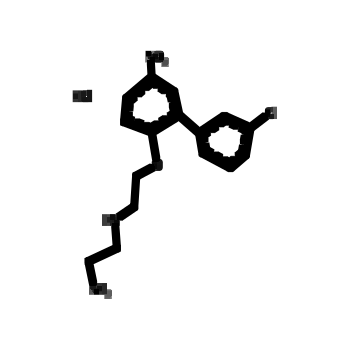 Cl.NCCNCCOc1ccc([N+](=O)[O-])cc1-c1cccc(Cl)c1